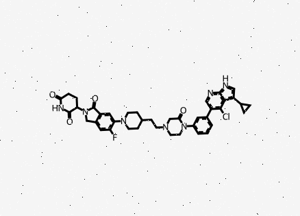 O=C1CCC(N2Cc3cc(F)c(N4CCC(CCN5CCN(c6cccc(-c7cnc8[nH]cc(C9CC9)c8c7Cl)c6)C(=O)C5)CC4)cc3C2=O)C(=O)N1